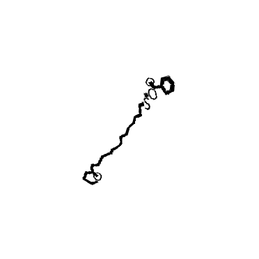 O=C(OCSCCCCCCCCCCCCCC1CCCCO1)c1ccccc1